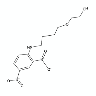 O=[N+]([O-])c1ccc(NCCCCOCCO)c([N+](=O)[O-])c1